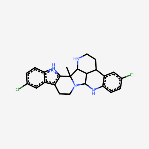 CC12c3[nH]c4ccc(Cl)cc4c3CCN1C1Nc3ccc(Cl)cc3C3CCNC2C31